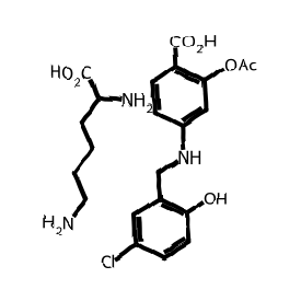 CC(=O)Oc1cc(NCc2cc(Cl)ccc2O)ccc1C(=O)O.NCCCCC(N)C(=O)O